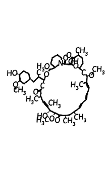 CO[C@H]1CC2CC[C@@H](C)C(=O)C(O)(O2)C(=O)N2CCCCC2C(=O)O[C@H]([C@H](C)C[C@@H]2CC[C@@H](O)[C@H](OC)C2)CC(=O)[C@H](C)/C=C(\C)[C@@H](O)[C@@H](OC)C(=O)[C@@H](C)C[C@H](C)/C=C/C=C/C=C/1C